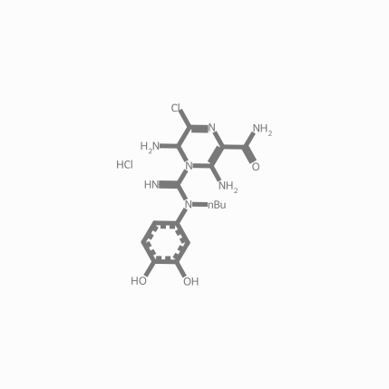 CCCCN(C(=N)N1C(N)=C(C(N)=O)N=C(Cl)C1N)c1ccc(O)c(O)c1.Cl